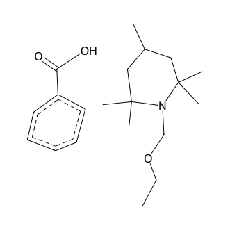 CCOCN1C(C)(C)CC(C)CC1(C)C.O=C(O)c1ccccc1